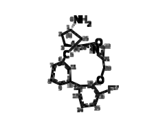 N[C@H]1CC[C@@]2(Cc3cccc(c3)-c3cccc(F)c3OCc3coc2n3)C1